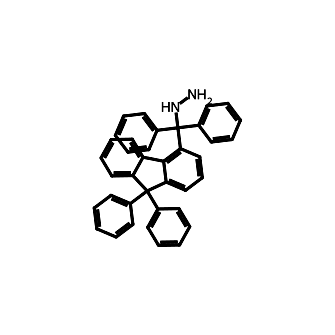 NNC(c1ccccc1)(c1ccccc1)c1cccc2c1-c1ccccc1C2(c1ccccc1)c1ccccc1